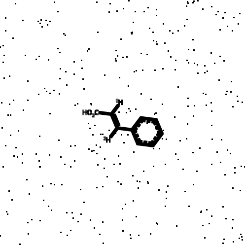 [2H]C(C(=O)O)=C([2H])c1ccccc1